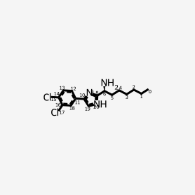 CCCCCC[C@H](N)c1nc(-c2ccc(Cl)c(Cl)c2)c[nH]1